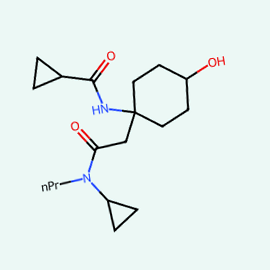 CCCN(C(=O)CC1(NC(=O)C2CC2)CCC(O)CC1)C1CC1